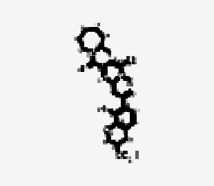 C=C(/C=C1/N=C(C(=O)N2CCCCCC2C)C=C(CC)N1C)c1ccc2c(c1F)OCC(C(=O)O)C2